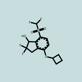 O=S(=O)(c1ccc(OC2CCC2)c2c1C(O)C(F)(F)C2)C(F)F